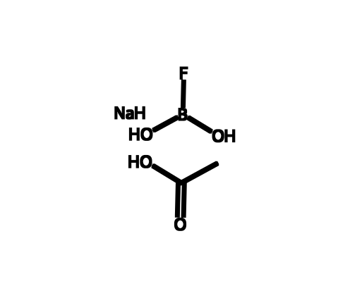 CC(=O)O.OB(O)F.[NaH]